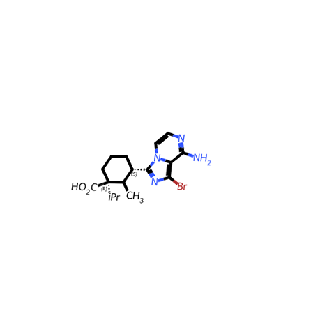 CC(C)[C@]1(C(=O)O)CCC[C@H](c2nc(Br)c3c(N)nccn23)C1C